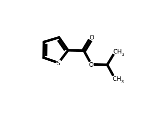 CC(C)OC(=O)c1cccs1